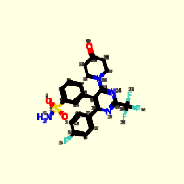 NS(=O)(=O)c1cccc(-c2c(-c3ccc(F)cc3)nc(C(F)(F)F)nc2N2CCC(=O)CC2)c1